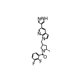 C[C@@H]1CC(Cn2ccc3cc(-c4cn[nH]c4)cnc32)CN1C(=O)c1cccc(F)c1F